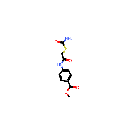 COC(=O)c1ccc(NC(=O)CSC(N)=O)cc1